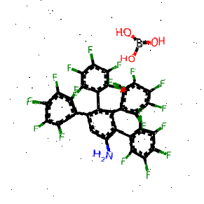 Nc1cc(-c2c(F)c(F)c(F)c(F)c2F)c(-c2c(F)c(F)c(F)c(F)c2F)c(-c2c(F)c(F)c(F)c(F)c2F)c1-c1c(F)c(F)c(F)c(F)c1F.OB(O)O